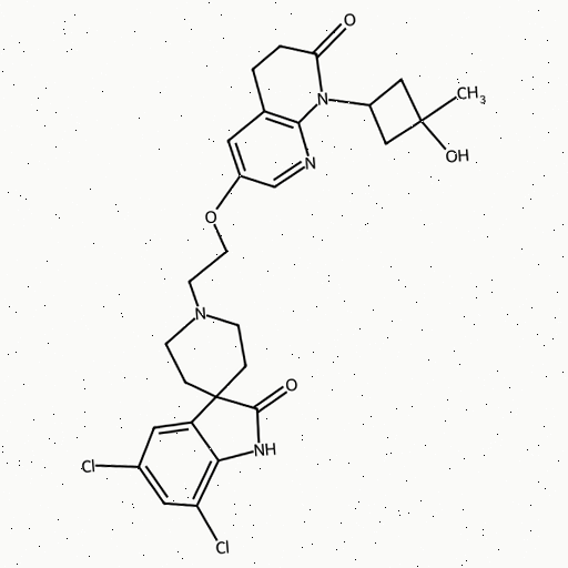 CC1(O)CC(N2C(=O)CCc3cc(OCCN4CCC5(CC4)C(=O)Nc4c(Cl)cc(Cl)cc45)cnc32)C1